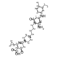 CCc1cc(Nc2cc(=O)n(CCCCN3CCN(C4=NC(C5CC5)=C(C(=O)O)C(=O)C4)CC3)c(N)n2)ccc1C